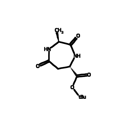 C[C@@H]1NC(=O)C[C@@H](C(=O)OC(C)(C)C)NC1=O